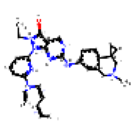 C=CN(/C=C\C=C/C)c1cccc(-n2c3nc(Nc4ccc5c(c4)CN(C)CC54CC4)ncc3c(=O)n2CC)n1